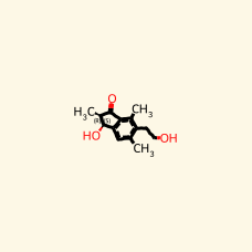 Cc1cc2c(c(C)c1CCO)C(=O)[C@H](C)[C@@H]2O